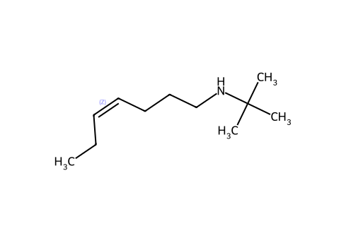 CC/C=C\CCCNC(C)(C)C